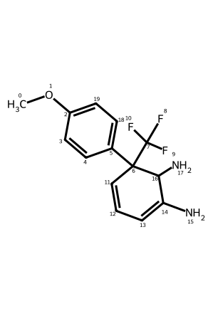 COc1ccc(C2(C(F)(F)F)C=CC=C(N)C2N)cc1